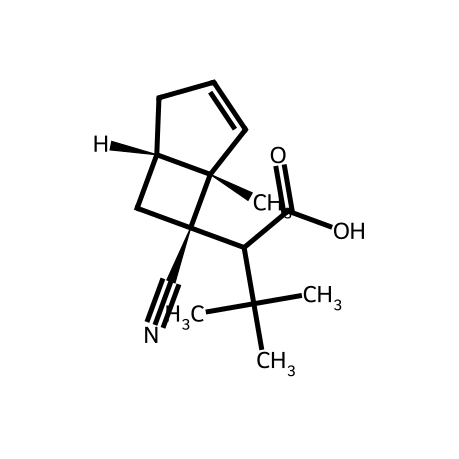 CC(C)(C)C(C(=O)O)[C@]1(C#N)C[C@@H]2CC=C[C@@]21C